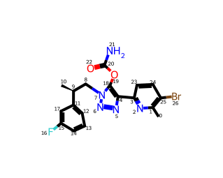 Cc1nc(-c2nnn(C[C@H](C)c3cccc(F)c3)c2OC(N)=O)ccc1Br